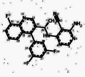 C[C@@H](Nc1ncnc(N)c1C#N)c1cnc2c(F)cccc2c1-c1cc(F)cc(F)c1